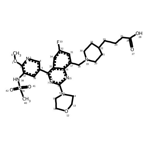 COc1ncc(-c2nc(N3CCOCC3)nc3c(CN4CCC(CCCC(=O)O)CC4)cc(F)cc23)cc1NS(C)(=O)=O